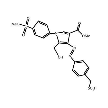 COC(=O)c1nn(-c2ccc(S(=O)(=O)OC)cc2)c(CO)c1N=Nc1ccc(CS(=O)(=O)O)cc1